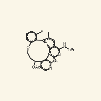 CCCNc1nc(=O)n2c3nc(c(C)cc13)-c1c(F)cccc1OCCC(OC(C)=O)c1ccnc(C(C)C)c1-2